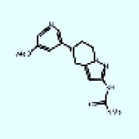 CNC(=O)Nc1cc2n(n1)CCN(c1cncc(OC)c1)C2